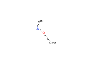 CC[C@@H](C)CCN(C)CCOCCCCOC